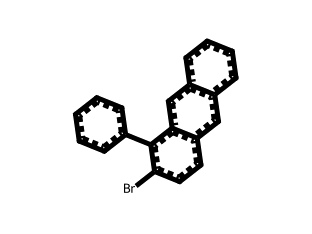 Brc1ccc2cc3ccccc3cc2c1-c1ccccc1